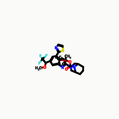 COC(c1cc(-c2nccs2)c2oc(N3CC4CCCC(C3)N4C(=O)OC(C)(C)C)nc2c1)C(F)(F)F